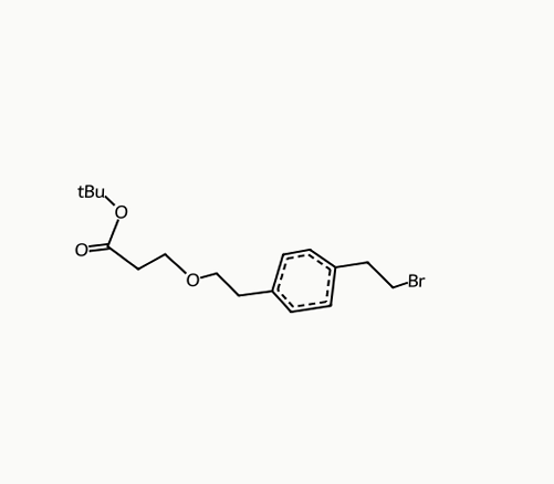 CC(C)(C)OC(=O)CCOCCc1ccc(CCBr)cc1